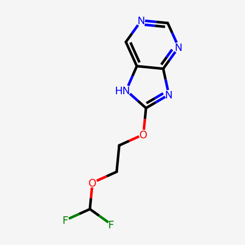 FC(F)OCCOc1nc2ncncc2[nH]1